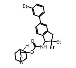 CCc1cccc(-c2ccc3c(c2)CC(CC)(CC)C3NC(=O)O[C@H]2CN3CCC2CC3)c1